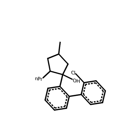 CCCC1CC(C)CC1(O)c1ccccc1-c1ccccc1Cl